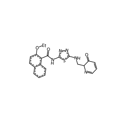 CCOc1ccc2ccccc2c1C(=O)Nc1nnc(NCC2N=CC=CC2=O)s1